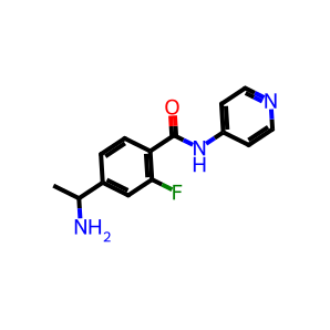 CC(N)c1ccc(C(=O)Nc2ccncc2)c(F)c1